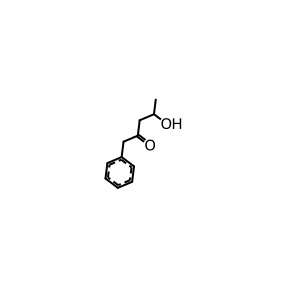 CC(O)CC(=O)Cc1ccccc1